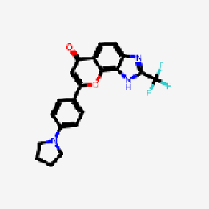 O=c1cc(-c2ccc(N3CCCC3)cc2)oc2c1ccc1nc(C(F)(F)F)[nH]c12